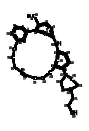 Cc1cnc2nc1-c1ccnc(c1)OCC/C=C/COCc1cc(ccc1N1CCN(CCO)CC1)N2